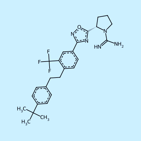 CC(C)(C)c1ccc(CCc2ccc(-c3noc([C@@H]4CCCN4C(=N)N)n3)cc2C(F)(F)F)cc1